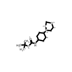 CC(C)(C)OC(=O)NC1CCC(N2CCOCC2)CC1